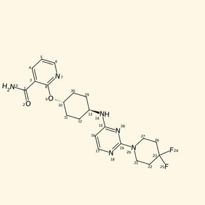 NC(=O)c1cccnc1O[C@H]1CC[C@H](Nc2ccnc(N3CCC(F)(F)CC3)n2)CC1